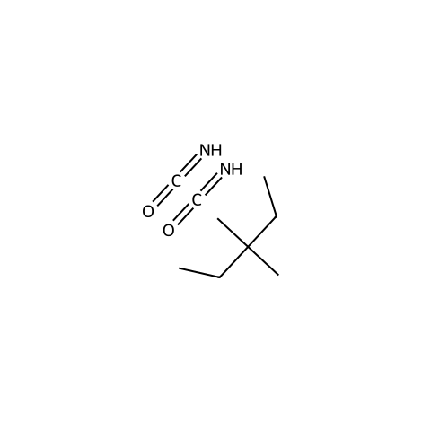 CCC(C)(C)CC.N=C=O.N=C=O